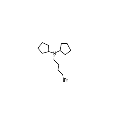 CC(C)CCCCN(C1CCCC1)C1CCCC1